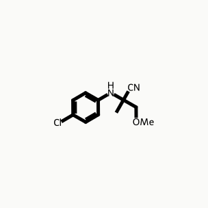 COCC(C)(C#N)Nc1ccc(Cl)cc1